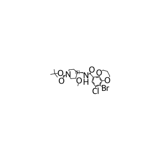 COC1CN(C(=O)OC(C)(C)C)CC[C@H]1CNC(=O)c1cc(Cl)c(Br)c2c1OCCCO2